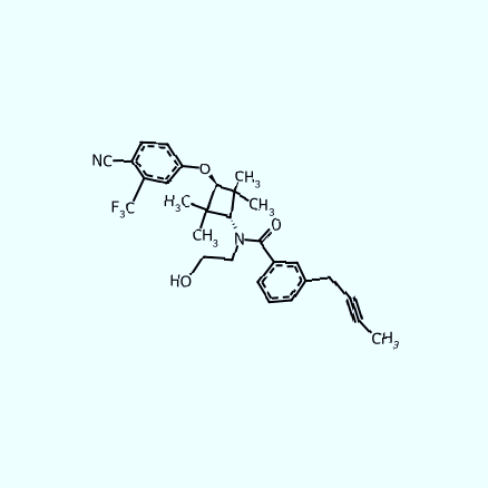 CC#CCc1cccc(C(=O)N(CCO)[C@H]2C(C)(C)[C@H](Oc3ccc(C#N)c(C(F)(F)F)c3)C2(C)C)c1